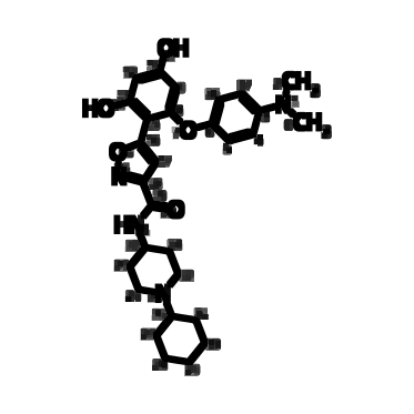 CN(C)c1ccc(Oc2cc(O)cc(O)c2-c2cc(C(=O)NC3CCN(C4CCCCC4)CC3)no2)cc1